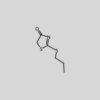 CCCSC1=NC(=O)CS1